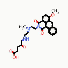 COc1ccc2c3c(c4ccccc4cc13)C(=O)N(CCN(C)CCNCC(=O)CCC(=O)O)C2=O